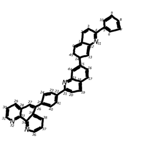 C1=c2ccc(-c3ccccc3)nc2=CC(c2ccc3ccc(-c4ccc(-c5cc6cccnc6c6ncccc56)cc4)nc3c2)C1